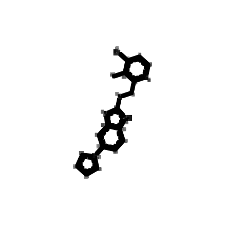 CCc1ccnc(CSc2nc3cc(-n4cccc4)ccc3[nH]2)c1C